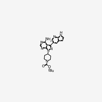 CC(C)(C)OC(=O)N1CCC(n2nc(-c3cnc4[nH]ccc4c3)c3c(N)ncnc32)CC1